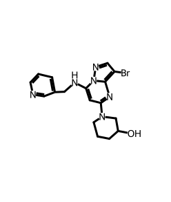 OC1CCCN(c2cc(NCc3cccnc3)n3ncc(Br)c3n2)C1